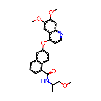 COCC(C)NC(=O)c1cccc2cc(Oc3ccnc4cc(OC)c(OC)cc34)ccc12